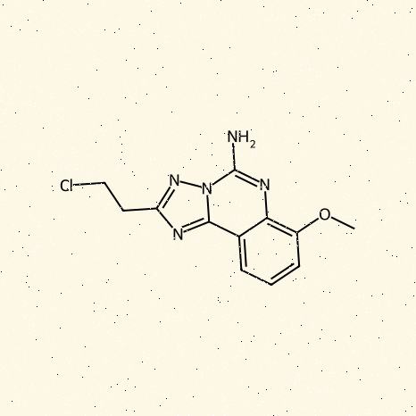 COc1cccc2c1nc(N)n1nc(CCCl)nc21